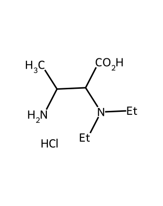 CCN(CC)C(C(=O)O)C(C)N.Cl